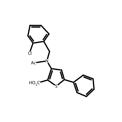 CC(=O)N(Cc1ccccc1Cl)c1cc(-c2ccccc2)sc1C(=O)O